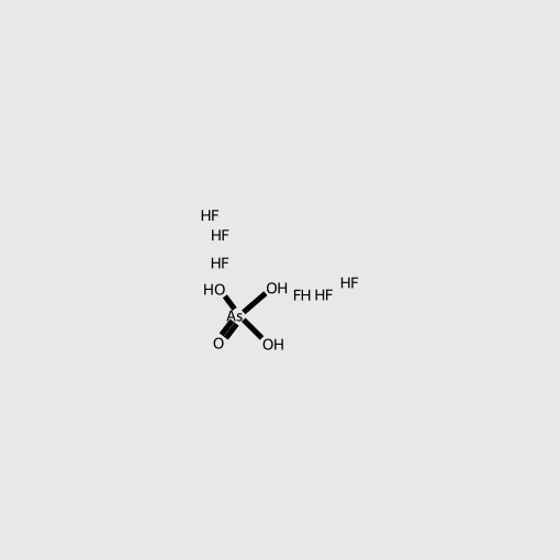 F.F.F.F.F.F.O=[As](O)(O)O